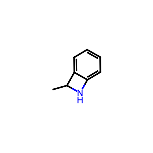 CC1Nc2ccccc21